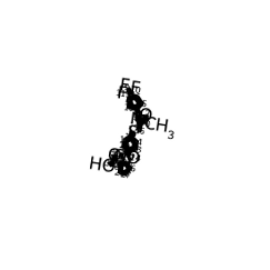 Cc1oc(-c2ccc(C(F)(F)F)cc2)nc1CSc1ccc(S(=O)(=O)N2CCC[C@@H]2C(=O)O)cc1